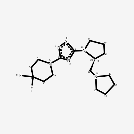 FC1(F)CCN(c2nsc(N3CCC[C@H]3CN3CCCC3)n2)CC1